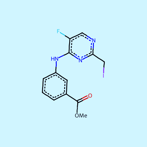 COC(=O)c1cccc(Nc2nc(CI)ncc2F)c1